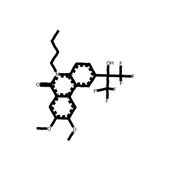 CCCCn1c(=O)c2cc(OC)c(OC)cc2c2cc(C(O)(C(F)(F)F)C(F)(F)F)ccc21